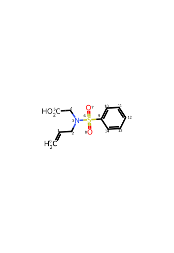 C=CCN(CC(=O)O)S(=O)(=O)c1ccccc1